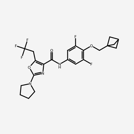 O=C(Nc1cc(F)c(OCC23CC(C2)C3)c(F)c1)c1nc(N2CCCC2)oc1CC(F)(F)F